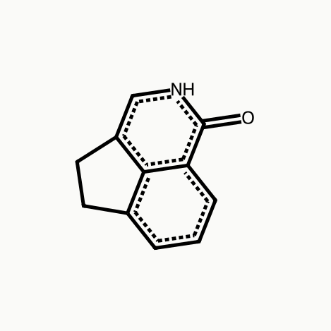 O=c1[nH]cc2c3c(cccc13)CC2